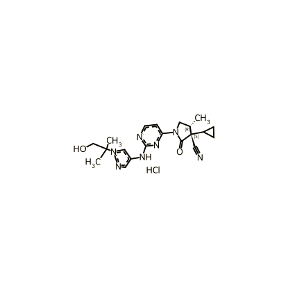 C[C@H]1CN(c2ccnc(Nc3cnn(C(C)(C)CO)c3)n2)C(=O)[C@@]1(C#N)C1CC1.Cl